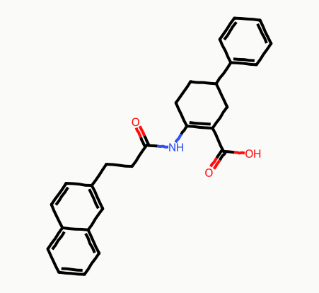 O=C(CCc1ccc2ccccc2c1)NC1=C(C(=O)O)CC(c2ccccc2)CC1